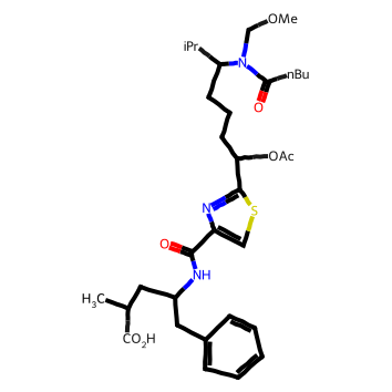 CCCCC(=O)N(COC)C(CCCC(OC(C)=O)c1nc(C(=O)NC(Cc2ccccc2)CC(C)C(=O)O)cs1)C(C)C